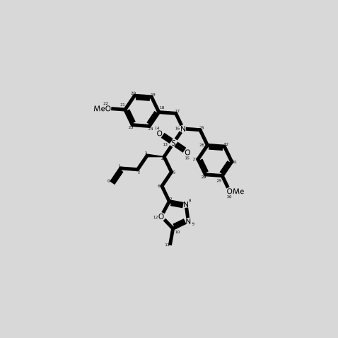 C=CCC[C@H](CCc1nnc(C)o1)S(=O)(=O)N(Cc1ccc(OC)cc1)Cc1ccc(OC)cc1